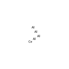 [Al].[Al].[Al].[Al].[Ce]